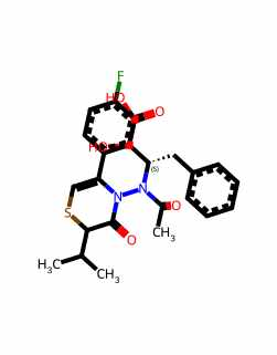 CC(=O)N([C@@H](Cc1ccccc1)C(O)C(=O)O)N1C(=O)C(C(C)C)SC=C1c1ccc(F)cc1